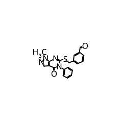 Cn1ncc2c(=O)n(-c3ccccc3)c(SCc3cccc(C=O)c3)nc21